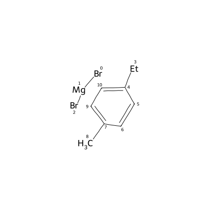 [Br][Mg][Br].[CH2]Cc1ccc(C)cc1